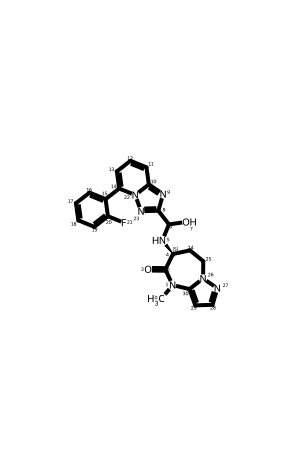 CN1C(=O)[C@@H](NC(O)c2nc3cccc(-c4ccccc4F)n3n2)CCn2nccc21